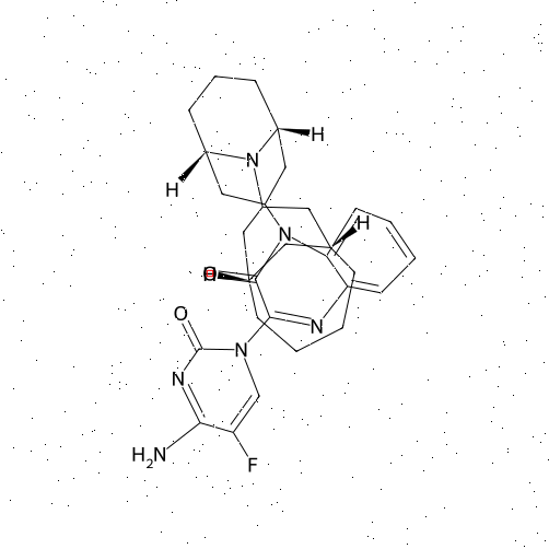 Nc1nc(=O)n(-c2nc3ccccc3n(C3C[C@H]4CCC[C@@H](C3)N4C3C[C@H]4CCCC[C@@H](C3)C4)c2=O)cc1F